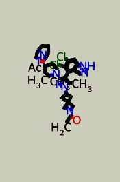 C=CC(=O)N1CC2(CC(n3nc(N4CC[C@@H](CN5C6CCC5CN(C(C)=O)C6)CC4(C)C)c(-c4c(Cl)c(Cl)cc5[nH]ncc45)c3C)C2)C1